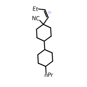 CC/C=C\C1(C#N)CCC(C2CCC(CCC)CC2)CC1